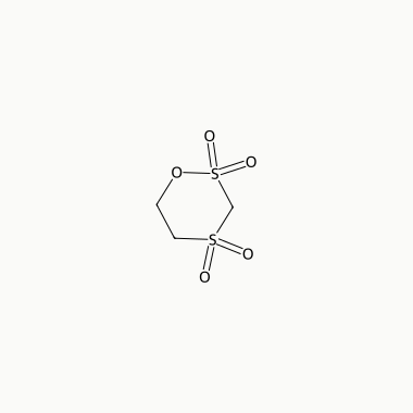 O=S1(=O)CCOS(=O)(=O)C1